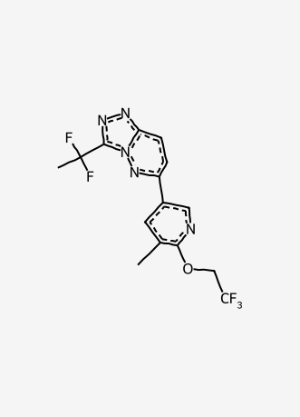 Cc1cc(-c2ccc3nnc(C(C)(F)F)n3n2)cnc1OCC(F)(F)F